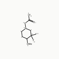 COC1CCN(OC(=O)C(F)(F)F)CC1(F)F